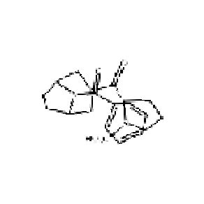 O=C([C@@H]1CCCN1C(=O)O)N1CC2CCC(C1)N2C(=O)c1ccccc1